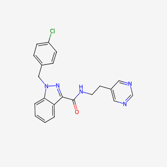 O=C(NCCc1cncnc1)c1nn(Cc2ccc(Cl)cc2)c2ccccc12